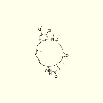 COc1cc2cc(c1Cl)N(C)C(=O)CCC1OC1[C@H](C)C1C[C@](O)(C/C=C/C=C(\C)C2)NC(=O)O1